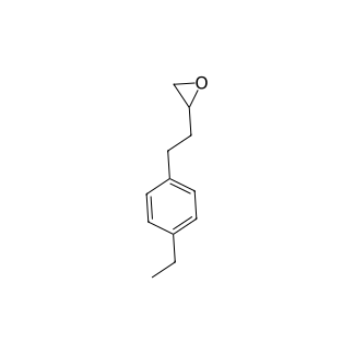 CCc1ccc(CCC2CO2)cc1